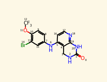 O=C1NCc2c(Nc3ccc(OC(F)(F)F)c(Br)c3)ccnc2N1